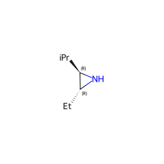 CC[C@H]1N[C@@H]1C(C)C